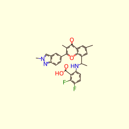 Cc1cc(C(C)Nc2ccc(F)c(F)c2C(=O)O)c2oc(-c3ccc4nn(C)cc4c3)c(C)c(=O)c2c1